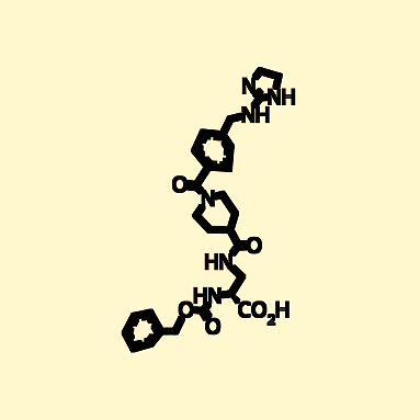 O=C(N[C@@H](CNC(=O)C1CCN(C(=O)c2ccc(CNC3=NCCN3)cc2)CC1)C(=O)O)OCc1ccccc1